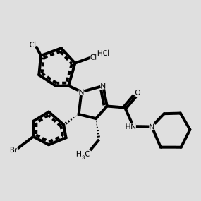 CC[C@H]1C(C(=O)NN2CCCCC2)=NN(c2ccc(Cl)cc2Cl)[C@H]1c1ccc(Br)cc1.Cl